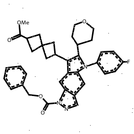 COC(=O)C1CC2(C1)CC(c1c(C3CCOCC3)n(-c3ccc(F)cc3)c3cc4cnn(C(=O)OCc5ccccc5)c4cc13)C2